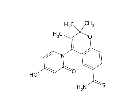 CC1=C(n2ccc(O)cc2=O)c2cc(C(N)=S)ccc2OC1(C)C